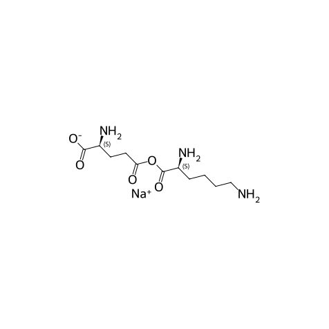 NCCCC[C@H](N)C(=O)OC(=O)CC[C@H](N)C(=O)[O-].[Na+]